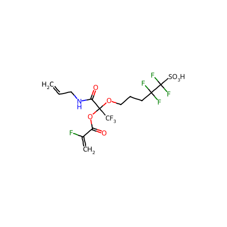 C=CCNC(=O)C(OCCCC(F)(F)C(F)(F)S(=O)(=O)O)(OC(=O)C(=C)F)C(F)(F)F